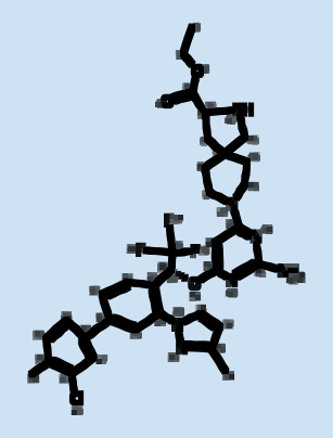 CCOC(=O)[C@@H]1CC2(CCN(c3cc(O[C@H](c4ccc(-c5ccc(C)c(Cl)c5)cc4-n4ccc(C)n4)C(F)(F)F)nc(N)n3)CC2)CN1